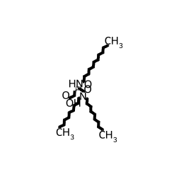 CCCCCCCCCCCC(=O)N[C@@H](CCC(=O)O)C(=O)N(CCCCCCCCCC)CCCCCCCCCC